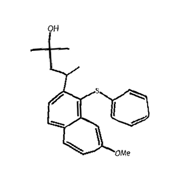 COc1ccc2ccc(C(C)CC(C)(C)O)c(Sc3ccccc3)c2c1